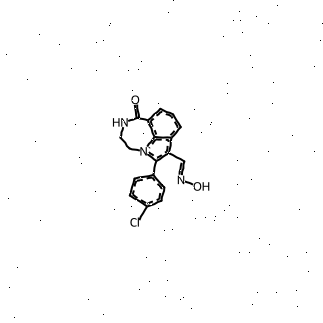 O=C1NCCn2c(-c3ccc(Cl)cc3)c(/C=N/O)c3cccc1c32